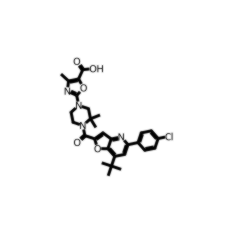 Cc1nc(N2CCN(C(=O)c3cc4nc(-c5ccc(Cl)cc5)cc(C(C)(C)C)c4o3)C(C)(C)C2)oc1C(=O)O